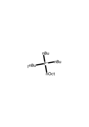 CCCCCCCC[P+](CCCC)(CCCC)CCCC.[I-]